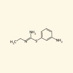 CC/N=C(\N)Sc1cccc(N)c1